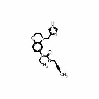 CC#CCOC(=O)N(CC)c1ccc2c(c1)N(Cc1c[nH]cn1)CCO2